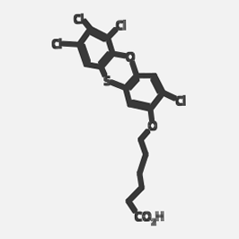 O=C(O)CCCCCOc1cc2c(cc1Cl)Oc1c(cc(Cl)c(Cl)c1Cl)S2